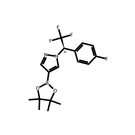 CC1(C)OB(c2cnn([C@H](c3ccc(F)cc3)C(F)(F)F)c2)OC1(C)C